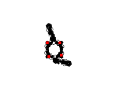 CC(C)C[C@H]1C(=O)O[C@H](Cc2cccc(Cn3cc(S(=O)(=O)N4CCCCC4)cn3)c2)C(=O)N(C)[C@@H](CC(C)C)C(=O)O[C@H](C)C(=O)N(C)[C@@H](CC(C)C)C(=O)O[C@H](Cc2ccc(Cn3cc(S(=O)(=O)N4CCCCC4)cn3)cc2)C(=O)N(C)[C@@H](CC(C)C)C(=O)O[C@H](C)C(=O)N1C